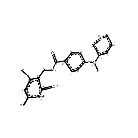 Cc1cc(C)c(CNC(=O)c2ccc(N(C)c3ccccc3)cc2)c(=O)[nH]1